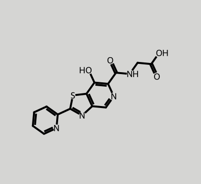 O=C(O)CNC(=O)c1ncc2nc(-c3ccccn3)sc2c1O